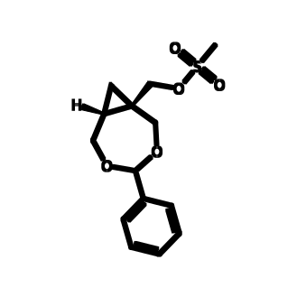 CS(=O)(=O)OC[C@@]12COC(c3ccccc3)OC[C@@H]1C2